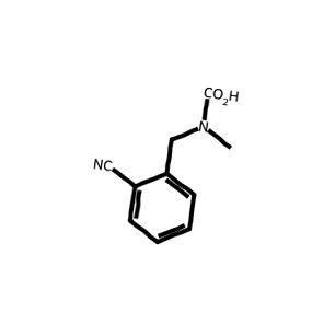 CN(Cc1ccccc1C#N)C(=O)O